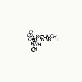 Cc1nc(-c2ccc(Oc3cc4[nH]c(-c5ccccn5)nc4cc3CN3C(=O)CCC3O)cn2)no1